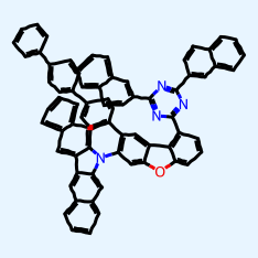 c1ccc(-c2ccc(-c3ccc(-c4cc5c(cc4-n4c6cc7ccccc7cc6c6cc7ccccc7cc64)oc4cccc(-c6nc(-c7ccc8ccccc8c7)nc(-c7ccc8ccccc8c7)n6)c45)cc3)cc2)cc1